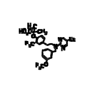 CCc1cnc(N(CCc2ccc(OC(C)(C)C(=O)O)c(C(F)(F)F)c2)Cc2cccc(OC(F)(F)F)c2)nc1